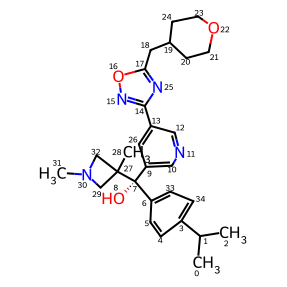 CC(C)c1ccc([C@](O)(c2cncc(-c3noc(CC4CCOCC4)n3)c2)C2(C)CN(C)C2)cc1